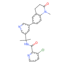 CN1C(=O)CCc2cc(-c3cncc(C(C)(C)NC(=O)c4ncccc4Cl)c3)ccc21